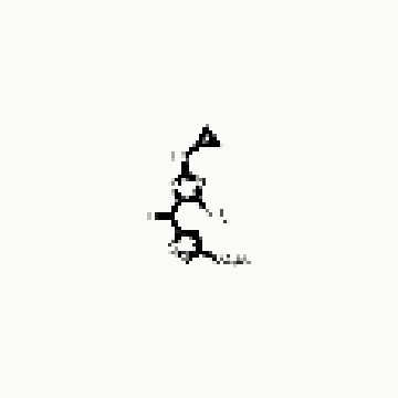 CCOC(=O)c1cc(C(=O)c2sc(NC3CC3)nc2N)on1